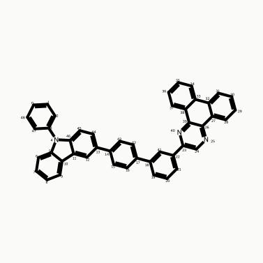 c1ccc(-n2c3ccccc3c3cc(-c4ccc(-c5cccc(-c6cnc7c8ccccc8c8ccccc8c7n6)c5)cc4)ccc32)cc1